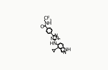 Cn1nc(-c2ccc(C(=O)NCC(F)(F)F)cc2)nc1Nc1ccc2[nH]ncc2c1C1CC1